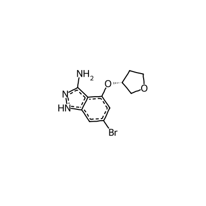 Nc1n[nH]c2cc(Br)cc(O[C@@H]3CCOC3)c12